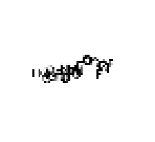 NC1C(c2cc(Cc3ccc(Cc4cc(F)nc(F)c4)cc3)no2)=CC=CN1COP(=O)(O)O